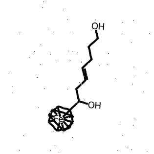 OCCCC=CCC(O)[C]12[CH]3[CH]4[CH]5[CH]1[Fe]45321678[CH]2[CH]1[CH]6[CH]7[CH]28